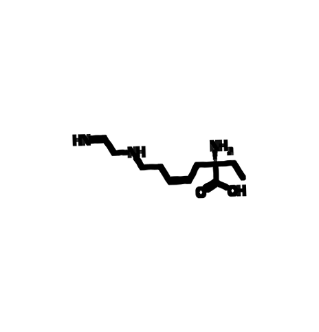 CC[C@](N)(C/C=C\CCNCC=N)C(=O)O